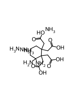 N.N.N.N.NC1(N)CCCC(CC(=O)O)(CC(=O)O)C1(CC(=O)O)CC(=O)O